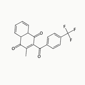 CC1=C(C(=O)c2ccc(C(F)(F)F)cc2)C(=O)C2C=CC=CC2C1=O